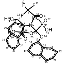 CCC(C(=O)O)N(C(=O)C(F)(F)F)C(Oc1cccc2ccccc12)(Oc1cccc2ccccc12)P(=O)(O)O